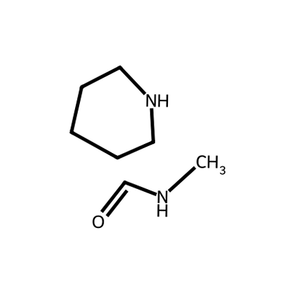 C1CCNCC1.CNC=O